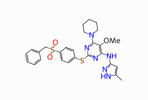 COc1c(Nc2cc(C)[nH]n2)nc(Sc2ccc(S(=O)(=O)Cc3ccccc3)cc2)nc1N1CCCCC1